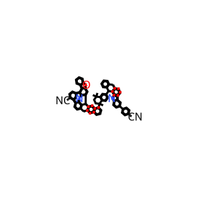 CC1(C)CCC(C)(Cc2ccc3c(c2)C24c5cc6ccccc6cc5C3c3ccc5c6c(C#N)ccc7c8c9c(cc2c8n(c5c34)c76)oc2ccccc29)c2cc3c(cc21)C12c4ccccc4C(c4ccccc41)c1ccc4c5cc(-c6ccc(C#N)cc6)ccc5n-3c4c12